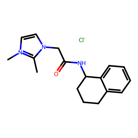 Cc1n(CC(=O)NC2CCCc3ccccc32)cc[n+]1C.[Cl-]